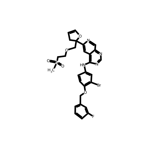 CS(=O)(=O)CCOCC1(c2cc3c(Nc4ccc(OCc5cccc(F)c5)c(Br)c4)ncnc3cn2)CC=CO1